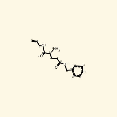 C=CCOC(=O)[C@@H](N)CCC(=O)OCc1ccccc1